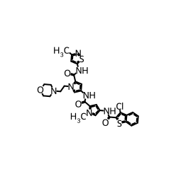 Cc1cc(NC(=O)c2cc(NC(=O)c3cc(NC(=O)c4sc5ccccc5c4Cl)cn3C)cn2CCN2CCOCC2)sn1